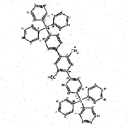 Cc1cc(-c2ccc([Si](c3ccccc3)(c3ccccc3)c3ccccc3)cc2)c(C)cc1-c1ccc([Si](c2ccccc2)(c2ccccc2)c2ccccc2)cc1